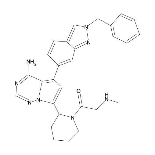 CNCC(=O)N1CCCCC1c1cc(-c2ccc3cn(Cc4ccccc4)nc3c2)c2c(N)ncnn12